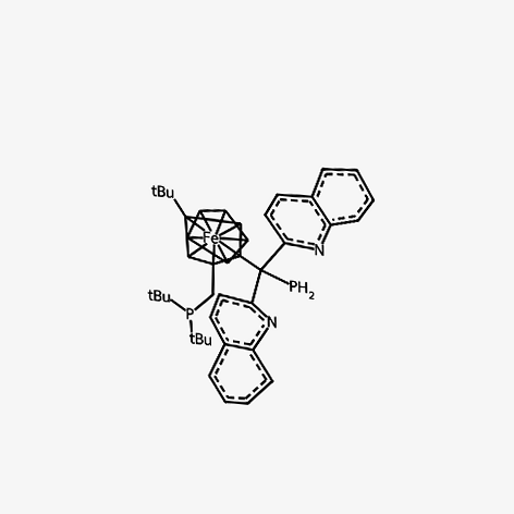 CC(C)(C)P(C[C]12[CH]3[C]4(C(C)(C)C)[CH]5[C]1(C(P)(c1ccc6ccccc6n1)c1ccc6ccccc6n1)[Fe]35241678[CH]2[CH]1[CH]6[CH]7[CH]28)C(C)(C)C